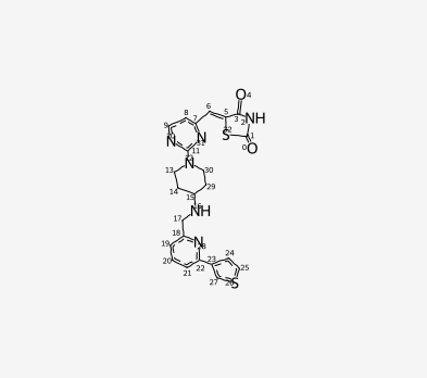 O=C1NC(=O)C(=Cc2ccnc(N3CCC(NCc4cccc(-c5ccsc5)n4)CC3)n2)S1